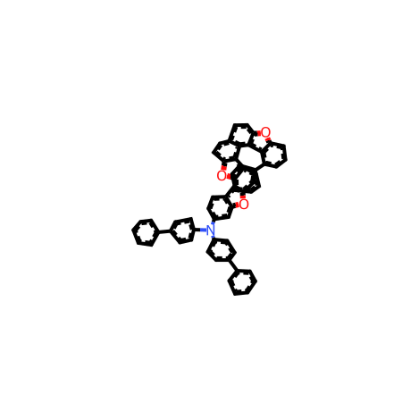 c1ccc(-c2ccc(N(c3ccc(-c4ccccc4)cc3)c3ccc4c(c3)oc3cc(-c5cccc6oc7ccc8ccc9oc%10ccccc%10c9c8c7c56)ccc34)cc2)cc1